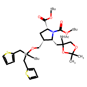 CC(=O)NC1(C[C@@H]2[C@H](CO[Si](Cc3cccs3)(Cc3cccs3)C(C)(C)C)C[C@H](C(=O)OC(C)(C)C)N2C(=O)OC(C)(C)C)COC(C)(C)O1